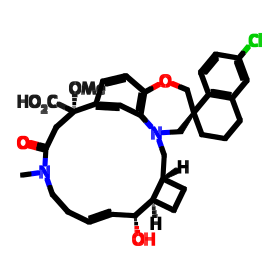 CO[C@@]1(C(=O)O)CC(=O)N(C)CC/C=C/[C@@H](O)[C@@H]2CC[C@H]2CN2C[C@@]3(CCCc4cc(Cl)ccc43)COc3ccc1cc32